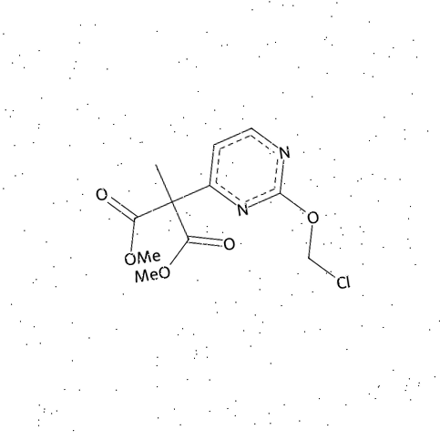 COC(=O)C(C)(C(=O)OC)c1ccnc(OCCl)n1